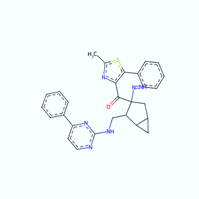 Cc1nc(C(=O)C2(N=N)CC3CC3C2CNc2nccc(-c3ccccc3)n2)c(-c2ccccc2)s1